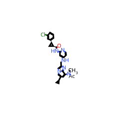 CC(=O)N(C)c1cc(C2CC2)cn2cc(CNc3ccnc(NC(=O)[C@H]4C[C@@H]4c4cccc(Cl)c4)c3)nc12